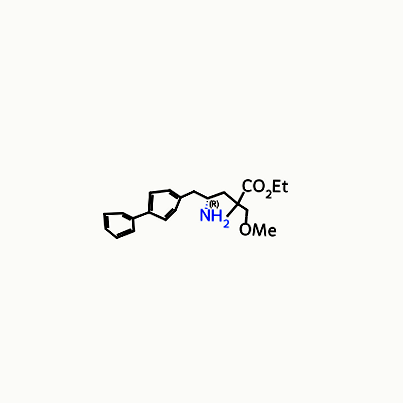 CCOC(=O)C(C)(COC)C[C@H](N)Cc1ccc(-c2ccccc2)cc1